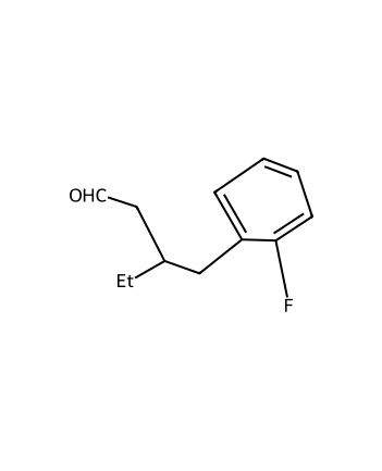 CCC(CC=O)Cc1ccccc1F